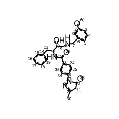 COc1cccc(CNC[C@@H](O)[C@H](Cc2ccccc2)NC(=O)c2ccc(N3N=C(C)CC3=O)cc2)c1